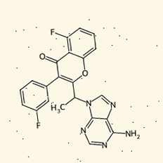 CC(c1oc2cccc(F)c2c(=O)c1-c1cccc(F)c1)n1cnc2c(N)ncnc21